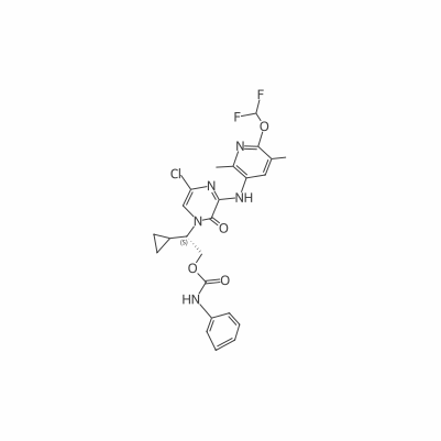 Cc1cc(Nc2nc(Cl)cn([C@H](COC(=O)Nc3ccccc3)C3CC3)c2=O)c(C)nc1OC(F)F